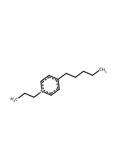 CCCCCc1cc[n+](CCC)cc1